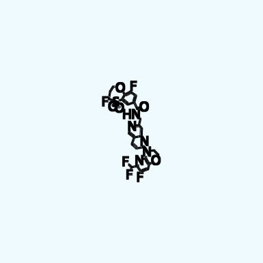 O=C(NCc1cc2nc(N3CCOc4cc(F)c(C(F)F)nc43)ccc2cn1)c1cc(F)c2c(c1)S(=O)(=O)[C@@H](F)CCO2